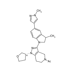 CC(=O)N1CCc2c(c(N3CC(C)c4cc(-c5cnn(C)c5)ccc43)nn2[C@@H]2CCOC2)C1